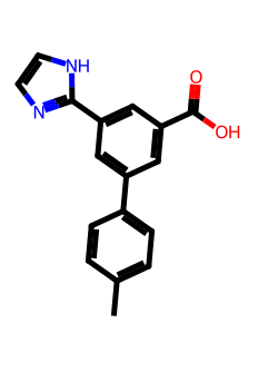 Cc1ccc(-c2cc(C(=O)O)cc(-c3ncc[nH]3)c2)cc1